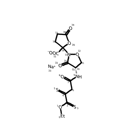 CCOC(=S)C(=S)CC(=O)N[C@H]1CON(C2(C(=O)[O-])CCC(=O)O2)C1=O.[Na+]